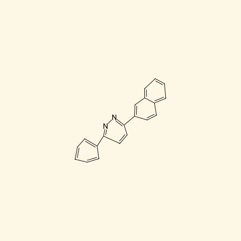 c1ccc(-c2ccc(-c3ccc4ccccc4c3)nn2)cc1